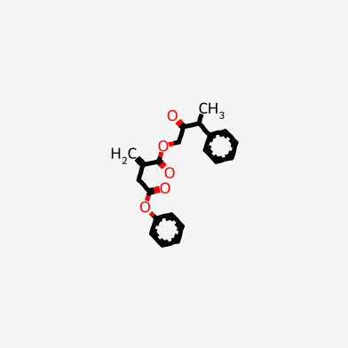 C=C(CC(=O)Oc1ccccc1)C(=O)OCC(=O)C(C)c1ccccc1